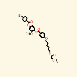 C=CC(=O)OCCCCCCOc1ccc(C(=O)Oc2ccc(OC(=O)C3CCC(CC)CC3)cc2C=O)cc1